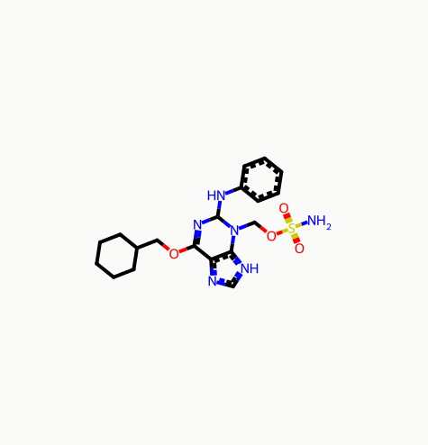 NS(=O)(=O)OCN1c2[nH]cnc2C(OCC2CCCCC2)=NC1Nc1ccccc1